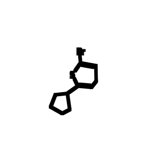 BrC1=CCC=C(C2CCCC2)S1